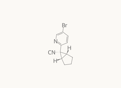 [C-]#[N+][C@]1(c2ccc(Br)cn2)[C@@H]2CCC[C@@H]21